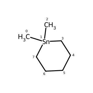 [CH3][Sn]1([CH3])[CH2]CCC[CH2]1